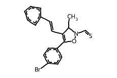 CC1C(C=Cc2ccccc2)=C(c2ccc(Br)cc2)ON1C=S